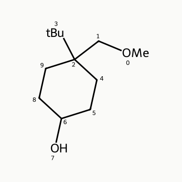 COCC1(C(C)(C)C)CCC(O)CC1